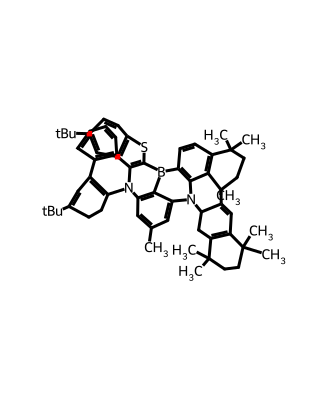 Cc1cc2c3c(c1)N1c4c(ccc5c4C(C)(CCC5(C)C)C4=CC5=C(CC41)C(C)(C)CCC5(C)C)B3c1sc3ccc(C(C)(C)C)cc3c1N2C1=C(c2ccccc2)C=C(C(C)(C)C)CC1